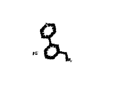 Cl.NCc1cccc(-c2ccncc2)c1